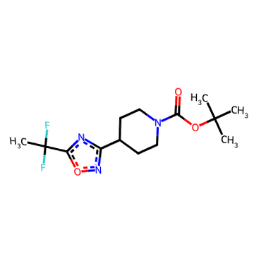 CC(C)(C)OC(=O)N1CCC(c2noc(C(C)(F)F)n2)CC1